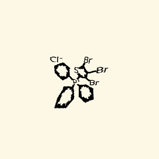 Brc1sc([P+](c2ccccc2)(c2ccccc2)c2ccccc2)c(Br)c1Br.[Cl-]